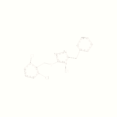 CCn1c(Cc2ccccc2)nnc1SCc1c(Cl)cccc1Cl